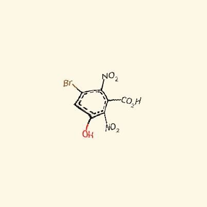 O=C(O)c1c([N+](=O)[O-])c(O)cc(Br)c1[N+](=O)[O-]